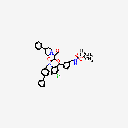 CC(C)(C)OC(=O)NCc1cccc(C2OC(C(C=O)N3CCC(c4ccccc4)CC3)C(=O)N(Cc3ccc(-c4ccccc4)cc3)c3ccc(Cl)cc32)c1